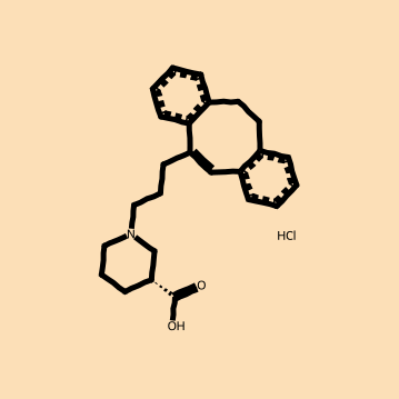 Cl.O=C(O)[C@@H]1CCCN(CCCC2=Cc3ccccc3CCc3ccccc32)C1